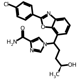 C[C@H](O)CCC(c1cccc2nc(-c3ccc(Cl)cc3)oc12)n1cnc(C(N)=O)c1